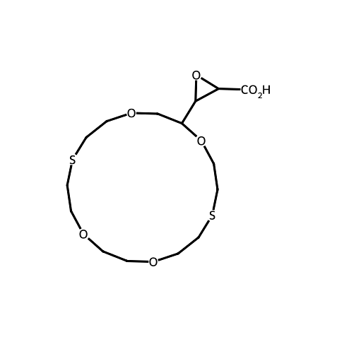 O=C(O)C1OC1C1COCCSCCOCCOCCSCCO1